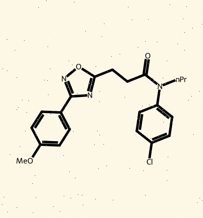 CCCN(C(=O)CCc1nc(-c2ccc(OC)cc2)no1)c1ccc(Cl)cc1